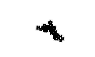 COC(OC)c1cnc(NC(=O)[C@H](CC2CCCC2)c2ccc(S(C)(=O)=O)c(Cl)c2)cn1